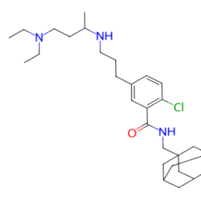 CCN(CC)CCC(C)NCCCc1ccc(Cl)c(C(=O)NCC23CC4CC(CC(C4)C2)C3)c1